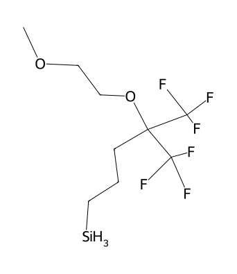 COCCOC(CCC[SiH3])(C(F)(F)F)C(F)(F)F